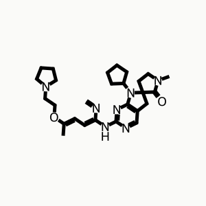 C=N/C(=C\C=C(/C)OCCN1CCCC1)Nc1ncc2c(n1)N(C1CCCC1)C1(CCN(C)C1=O)C2